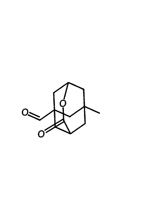 CC12CC3CC(C=O)(CC(C1)C(=O)O3)C2